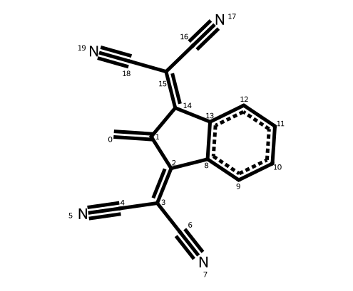 C=C1C(=C(C#N)C#N)c2ccccc2C1=C(C#N)C#N